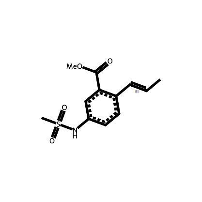 C/C=C/c1ccc(NS(C)(=O)=O)cc1C(=O)OC